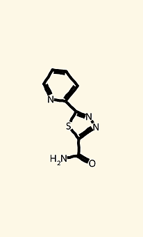 NC(=O)c1nnc(-c2ccccn2)s1